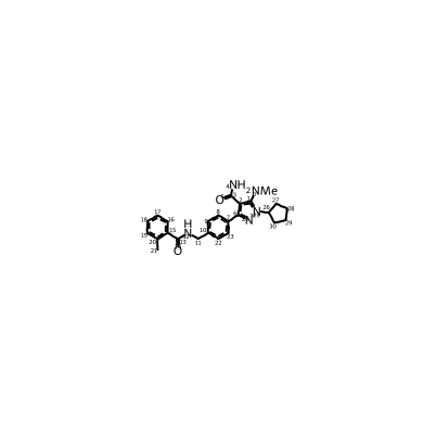 CNc1c(C(N)=O)c(-c2ccc(CNC(=O)c3ccccc3C)cc2)nn1C1CCCC1